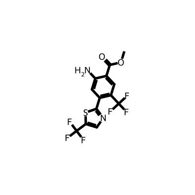 COC(=O)c1cc(C(F)(F)F)c(-c2ncc(C(F)(F)F)s2)cc1N